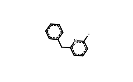 Fc1cccc(Cc2ccccc2)n1